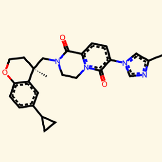 Cc1cn(-c2ccc3n(c2=O)CCN(C[C@]2(C)CCOc4ccc(C5CC5)cc42)C3=O)cn1